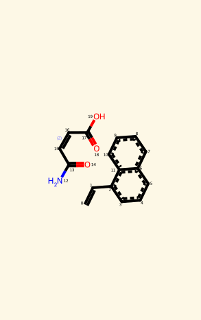 C=Cc1cccc2ccccc12.NC(=O)/C=C\C(=O)O